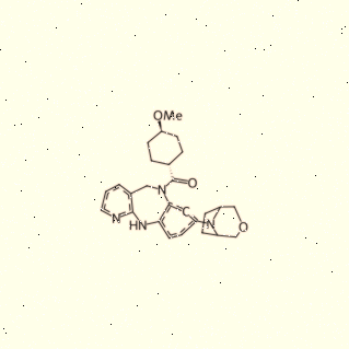 CO[C@H]1CC[C@H](C(=O)N2Cc3cccnc3Nc3ccc(N4C5CCC4COC5)cc32)CC1